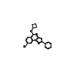 Brc1ccc2c(OC3CCC3)nc3cc(-c4ccccc4)nn3c2c1